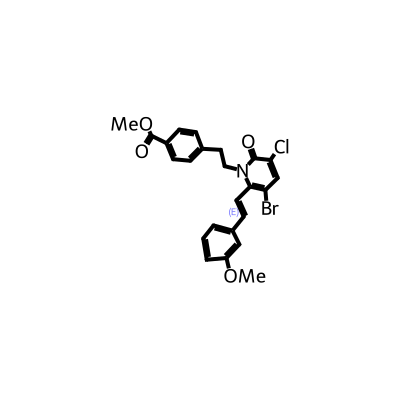 COC(=O)c1ccc(CCn2c(/C=C/c3cccc(OC)c3)c(Br)cc(Cl)c2=O)cc1